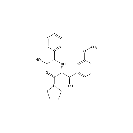 COc1cccc([C@@H](O)[C@H](N[C@H](CO)c2ccccc2)C(=O)N2CCCC2)c1